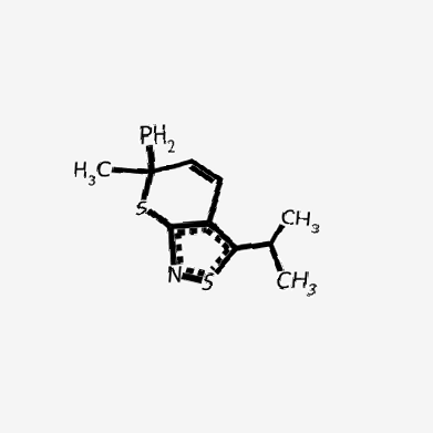 CC(C)c1snc2c1C=CC(C)(P)S2